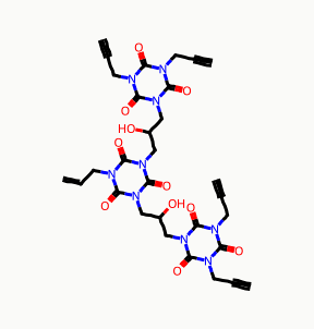 C#CCn1c(=O)n(CC#C)c(=O)n(CC(O)Cn2c(=O)n(CC=C)c(=O)n(CC(O)Cn3c(=O)n(CC#C)c(=O)n(CC#C)c3=O)c2=O)c1=O